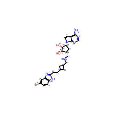 Nc1ncnc2c1ccn2[C@@H]1C[C@H](CNCC2CC(CCc3nc4cc(Br)ccc4[nH]3)C2)[C@@H](O)[C@H]1O